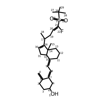 C=C1CCC(O)C/C1=C/C=C1\CCCC2(C)C(C(C)C/C=C(\F)S(=O)(=O)C(C)(C)C)=CCC12